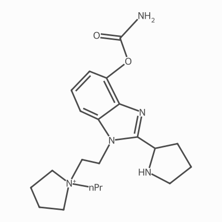 CCC[N+]1(CCn2c(C3CCCN3)nc3c(OC(N)=O)cccc32)CCCC1